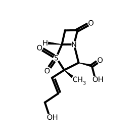 C[C@]1(C=CCO)[C@H](C(=O)O)N2C(=O)C[C@H]2S1(=O)=O